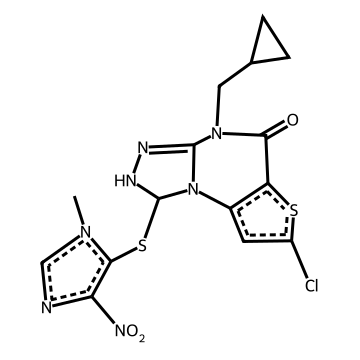 Cn1cnc([N+](=O)[O-])c1SC1NN=C2N(CC3CC3)C(=O)c3sc(Cl)cc3N21